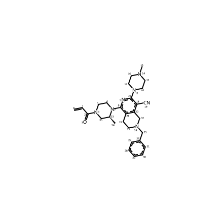 C=CC(=O)N1CCN(c2nc(N3CCN(C)CC3)c(C#N)c3c2CCN(Cc2ccccc2)C3)[C@@H](C)C1